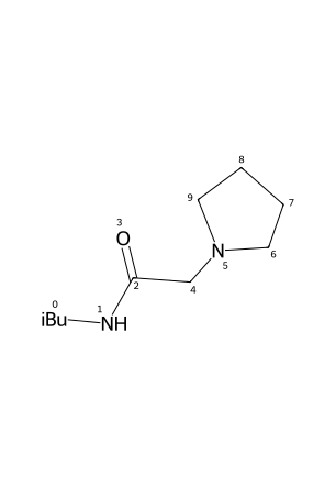 CCC(C)NC(=O)CN1CCCC1